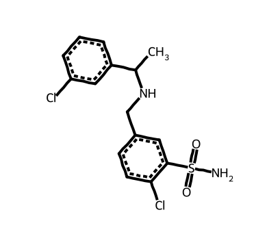 CC(NCc1ccc(Cl)c(S(N)(=O)=O)c1)c1cccc(Cl)c1